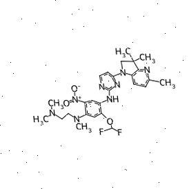 Cc1ccc2c(n1)C(C)(C)CN2c1ccnc(Nc2cc([N+](=O)[O-])c(N(C)CCN(C)C)cc2OC(F)F)n1